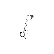 Cc1cccc2c1CCN2CCCC1CCNCC1